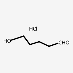 Cl.O=CCCCCO